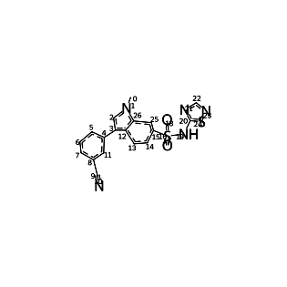 Cn1cc(-c2cccc(C#N)c2)c2ccc(S(=O)(=O)Nc3ncns3)cc21